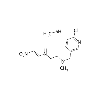 CN(CCNC=C[N+](=O)[O-])Cc1ccc(Cl)nc1.CS